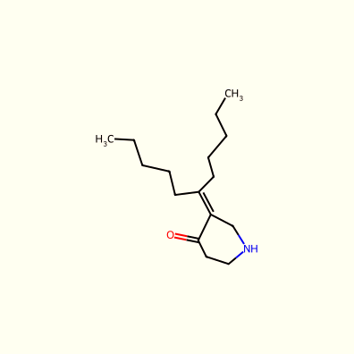 CCCCCC(CCCCC)=C1CNCCC1=O